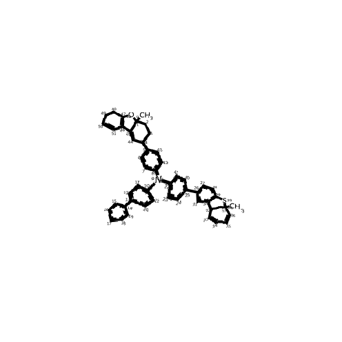 CC12CCC(c3ccc(N(c4ccc(-c5ccccc5)cc4)c4ccc(-c5ccc6c(c5)C5C=CC=CC5(C)S6)cc4)cc3)C=C1C1=C(CCC=C1)O2